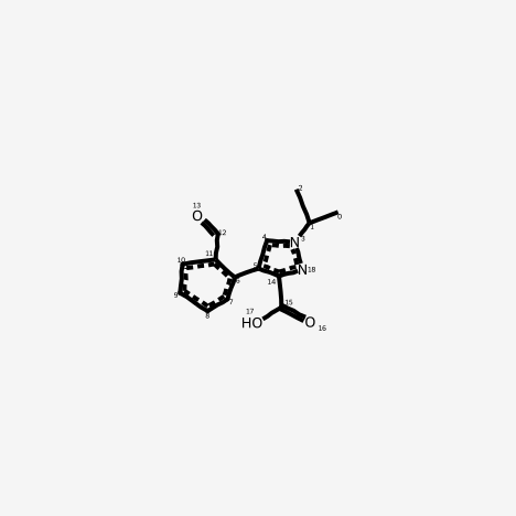 CC(C)n1cc(-c2ccccc2C=O)c(C(=O)O)n1